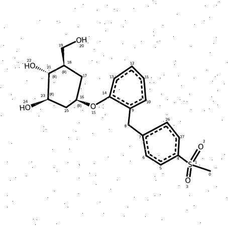 CS(=O)(=O)c1ccc(Cc2ccccc2O[C@@H]2C[C@H](CO)[C@@H](O)[C@H](O)C2)cc1